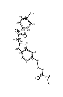 COC(=O)CCCc1ccc2c(c1)CC(NS(=O)(=O)c1ccc(C)cc1)C2